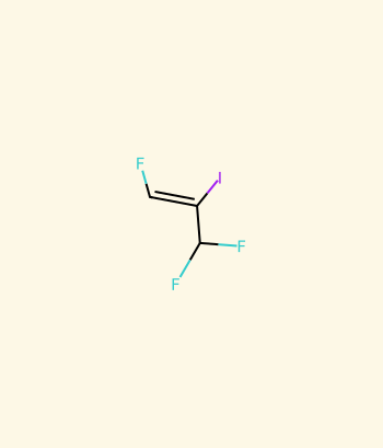 FC=C(I)C(F)F